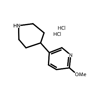 COc1ccc(C2CCNCC2)cn1.Cl.Cl